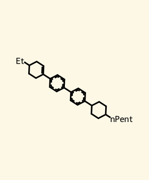 CCCCCC1CCC(c2ccc(-c3ccc(C4=CCC(CC)CC4)cc3)cc2)CC1